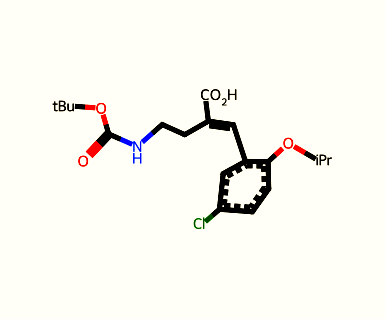 CC(C)Oc1ccc(Cl)cc1C=C(CCNC(=O)OC(C)(C)C)C(=O)O